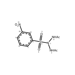 CC(=O)NN(NC(C)=O)S(=O)(=O)c1cccc([N+](=O)[O-])c1